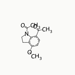 COc1ccc(C(C)=O)c2c1CCN2C(C)=O